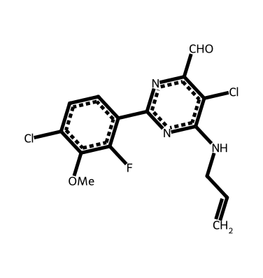 C=CCNc1nc(-c2ccc(Cl)c(OC)c2F)nc(C=O)c1Cl